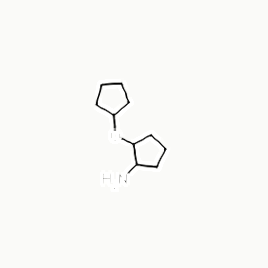 NC1CCCC1OC1CCCC1